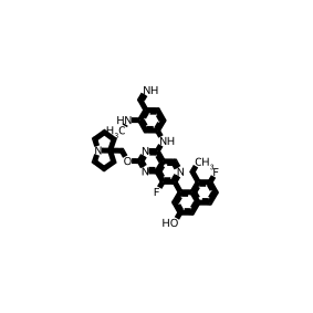 CCc1c(F)ccc2cc(O)cc(-c3ncc4c(Nc5ccc(C=N)c(NC)c5)nc(OCC56CCCN5CCC6)nc4c3F)c12